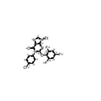 CCn1cnc2c(=O)n(-c3ccc(Cl)cc3)c(Oc3c(F)cc(F)cc3F)nc21